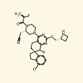 C=C(F)C(=O)N1CCN(c2nc(OC[C@H]3CCN3)nc3c2CC[C@@]2(CCc4c(Cl)cccc42)C3F)C[C@@H]1CC#N